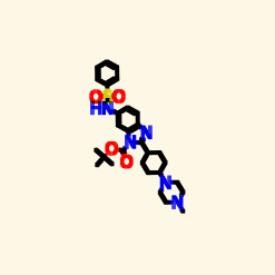 CN1CCN(C2CCC(c3nc4ccc(NS(=O)(=O)c5ccccc5)cc4n3C(=O)OC(C)(C)C)CC2)CC1